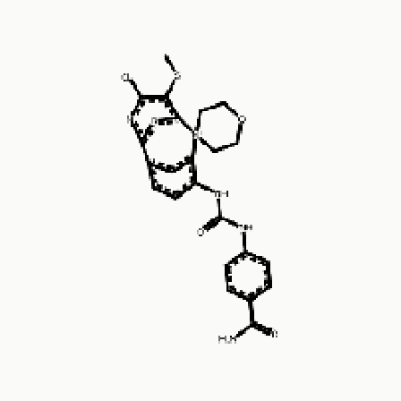 CSc1c(Cl)nc2nc1[N+]1(CCOCC1)c1cc-2ccc1NC(=O)Nc1ccc(C(N)=O)cc1